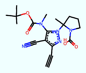 C#Cc1nn(C2(C)CCCN2C(=O)O)c(N(C)C(=O)OC(C)(C)C)c1C#N